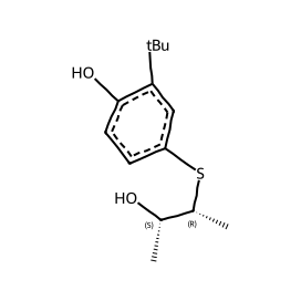 C[C@H](O)[C@@H](C)Sc1ccc(O)c(C(C)(C)C)c1